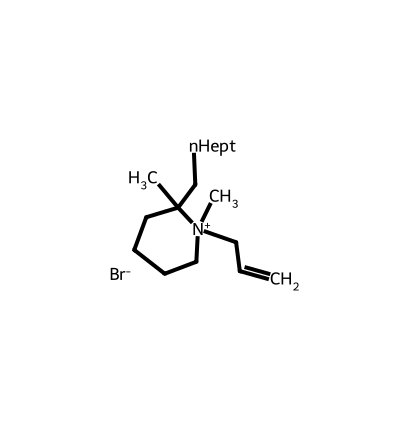 C=CC[N+]1(C)CCCCC1(C)CCCCCCCC.[Br-]